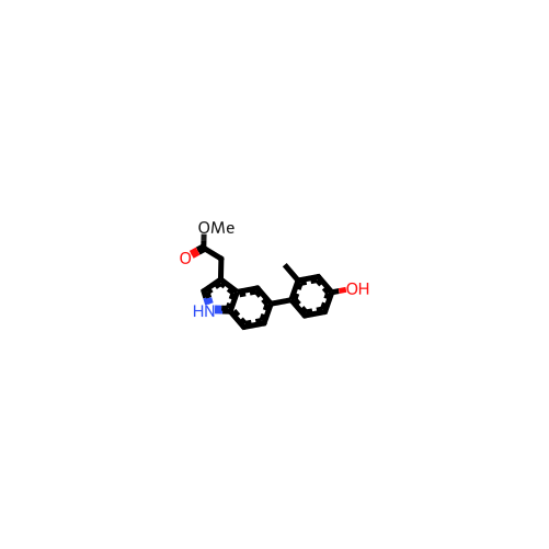 COC(=O)Cc1c[nH]c2ccc(-c3ccc(O)cc3C)cc12